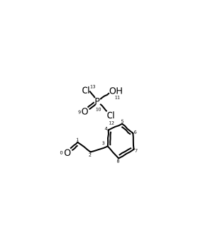 O=CCc1ccccc1.O=P(O)(Cl)Cl